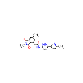 Cc1cc(CC(=O)Nc2ccc(-c3ccc(C)nc3)nn2)c2c(c1)C(=O)N(C)C2=O